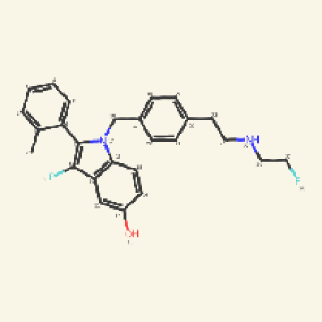 Cc1ccccc1-c1c(F)c2cc(O)ccc2n1Cc1ccc(CCNCCF)cc1